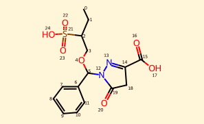 CCC(COC(c1ccccc1)N1N=C(C(=O)O)CC1=O)S(=O)(=O)O